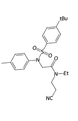 CCN(CCC#N)C(=O)CN(c1ccc(C)cc1)S(=O)(=O)c1ccc(C(C)(C)C)cc1